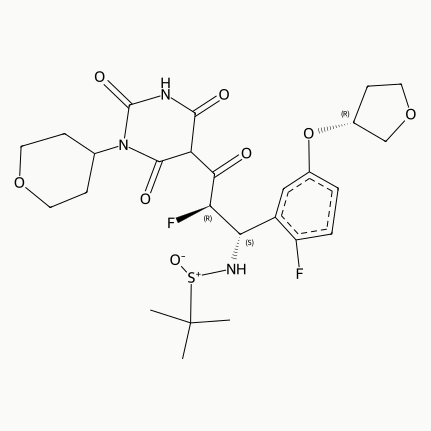 CC(C)(C)[S+]([O-])N[C@@H](c1cc(O[C@@H]2CCOC2)ccc1F)[C@@H](F)C(=O)C1C(=O)NC(=O)N(C2CCOCC2)C1=O